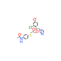 COc1ccc(C2(Cn3ccnc3)OCC(CSc3ccc(NC(C)=O)cc3)O2)c(Cl)c1